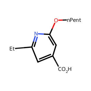 CCCCCOc1cc(C(=O)O)cc(CC)n1